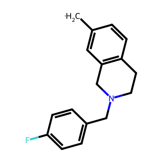 [CH2]c1ccc2c(c1)CN(Cc1ccc(F)cc1)CC2